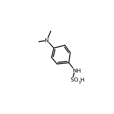 CN(C)c1ccc(NS(=O)(=O)O)cc1